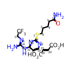 NC(=O)CCCCSc1nccc(NC(N)=NCC(F)(F)F)n1.O=C(O)C=CC(=O)O